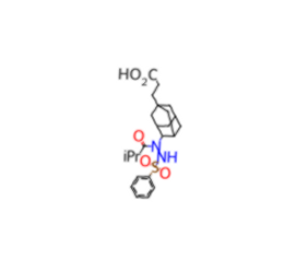 CC(C)C(=O)N(NS(=O)(=O)c1ccccc1)C1C2CC3CC1CC(CCC(=O)O)(C3)C2